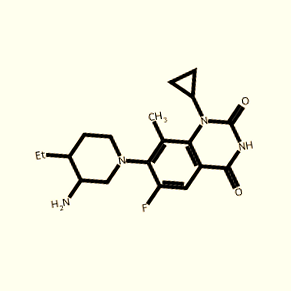 CCC1CCN(c2c(F)cc3c(=O)[nH]c(=O)n(C4CC4)c3c2C)CC1N